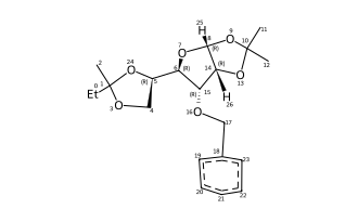 CCC1(C)OC[C@H]([C@H]2O[C@@H]3OC(C)(C)O[C@@H]3[C@@H]2OCc2ccccc2)O1